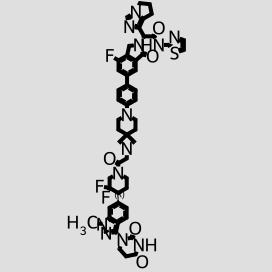 Cn1nc(N2CCC(=O)NC2=O)c2ccc([C@H]3CCN(C(=O)CN4CC5(CCN(c6ccc(-c7cc(F)c8c(c7)C(=O)N(C(C(=O)Nc7nccs7)c7ncn9c7CCC9)C8)cc6)CC5)C4)CC3(F)F)cc21